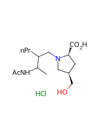 CCCC(CN1C[C@H](CO)C[C@@H]1C(=O)O)C(C)NC(C)=O.Cl